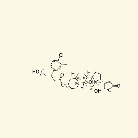 Cc1cc(C(CC(=O)O)CC(=O)O[C@H]2CC[C@@]3(C)[C@H](CC[C@@H]4[C@@H]3C[C@@H](O)[C@]3(C)[C@@H](C5=CC(=O)OC5)CCC43O)C2)ccc1O